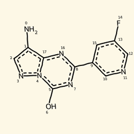 Nc1cnn2c(O)nc(-c3cncc(F)c3)nc12